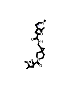 C=N/C=C\c1cc(C(=O)NCC2CC23CCN(C(=O)c2cc(C)n(C)n2)CC3)oc1C